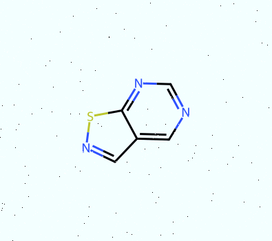 c1ncc2cnsc2n1